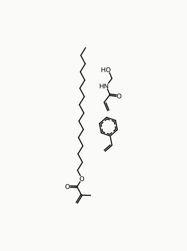 C=C(C)C(=O)OCCCCCCCCCCCCCCCC.C=CC(=O)NCO.C=Cc1ccccc1